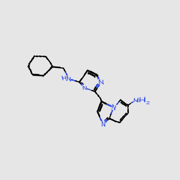 Nc1ccc2ncc(-c3nccc(NCC4CCCCC4)n3)n2c1